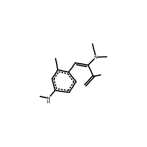 C=C(C)/C(=C\c1ccc(NC)cc1C)N(C)C